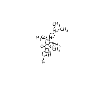 CCCN(CCC)C1CCN(c2c(OC)cc3c(=O)c4c5ccc(C#N)cc5[nH]c4n(C(C)C)c3c2F)CC1